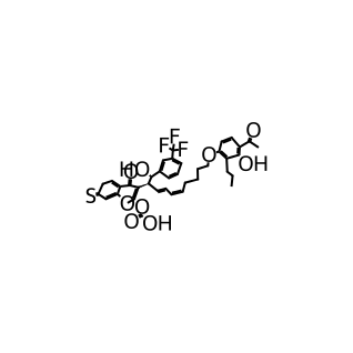 CCCc1c(OCCCC/C=C\C=C\[C@@H](c2c(OC(=O)O)oc3c(c2=O)=CCC(=S)C=3)[C@@H](O)c2cccc(C(F)(F)F)c2)ccc(C(C)=O)c1O